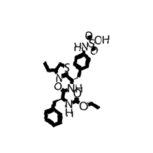 CCOC(=O)N[C@@H](Cc1ccccc1)C(=O)N[C@@H](Cc1ccc(NS(=O)(=O)O)cc1)C1=NC(CC)CS1